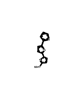 COc1ccc(-c2ccc(-c3cccs3)s2)s1